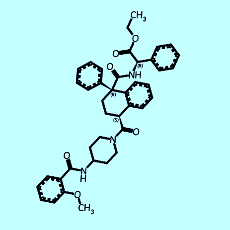 CCOC(=O)[C@H](NC(=O)[C@@]1(c2ccccc2)CC[C@H](C(=O)N2CCC(NC(=O)c3ccccc3OC)CC2)c2ccccc21)c1ccccc1